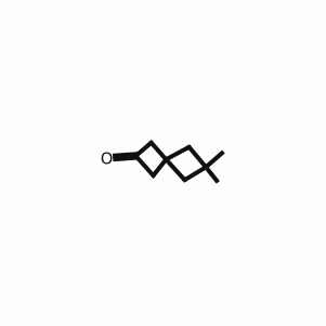 CC1(C)CC2(CC(=O)C2)C1